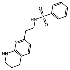 O=S(=O)(NCCc1ccc2c(n1)NCCC2)c1ccccc1